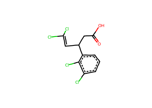 O=C(O)CC(C=C(Cl)Cl)c1cccc(Cl)c1Cl